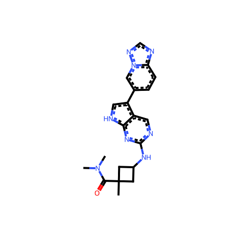 CN(C)C(=O)C1(C)CC(Nc2ncc3c(-c4ccc5ncnn5c4)c[nH]c3n2)C1